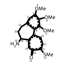 COc1cc2c(c(OC)c1OC)-c1ccc(SC)c(=O)cc1C(N)CC2